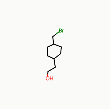 OCCC1CCC(CBr)CC1